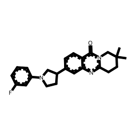 CC1(C)CCc2nc3cc(C4CCN(c5cccc(F)c5)C4)ccc3c(=O)n2C1